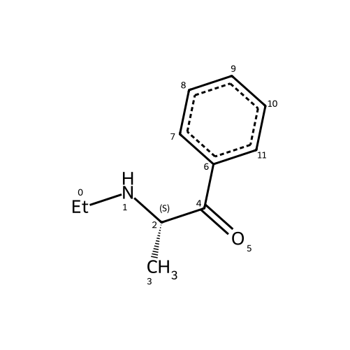 CCN[C@@H](C)C(=O)c1ccccc1